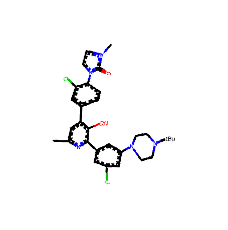 Cc1cc(-c2ccc(-n3ccn(C)c3=O)c(Cl)c2)c(O)c(-c2cc(Cl)cc(N3CCN(C(C)(C)C)CC3)c2)n1